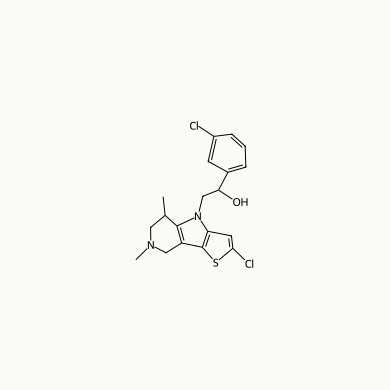 CC1CN(C)Cc2c1n(CC(O)c1cccc(Cl)c1)c1cc(Cl)sc21